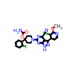 COc1nccc(-c2n[nH]c3nc(N4CCC(OC(N)=O)(c5ccccc5F)CC4)nc(C#N)c23)c1Cl